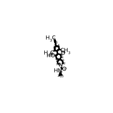 CC#Cc1cc(C)c(C2=C(O)CC3(CCN(C(=O)NC4CC4)CC3)CC2=O)c(C)c1